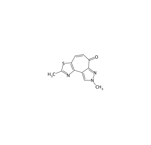 Cc1nc2c(ccc(=O)c3nn(C)cc32)s1